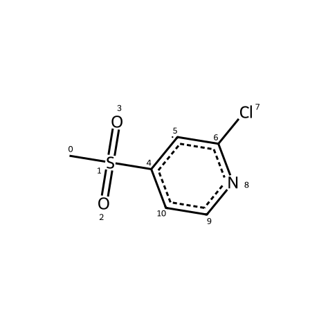 CS(=O)(=O)c1[c]c(Cl)ncc1